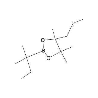 CCCC1(C)OB(C(C)(C)CC)OC1(C)C